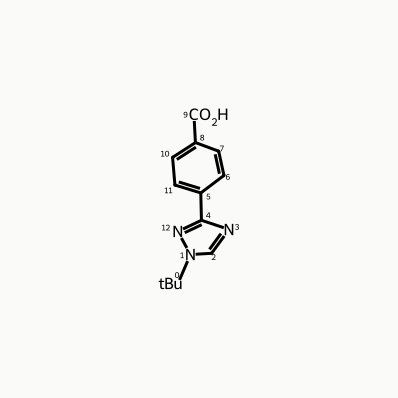 CC(C)(C)n1cnc(-c2ccc(C(=O)O)cc2)n1